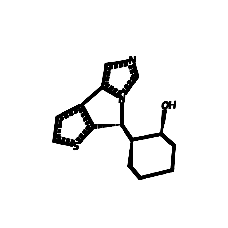 O[C@H]1CCCC[C@H]1[C@@H]1c2sccc2-c2cncn21